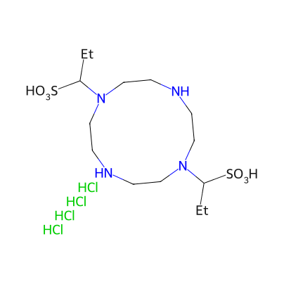 CCC(N1CCNCCN(C(CC)S(=O)(=O)O)CCNCC1)S(=O)(=O)O.Cl.Cl.Cl.Cl